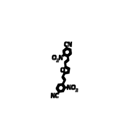 N#Cc1ccc(/C=C/c2ccc(/C=C/c3ccc(C#N)cc3[N+](=O)[O-])o2)c([N+](=O)[O-])c1